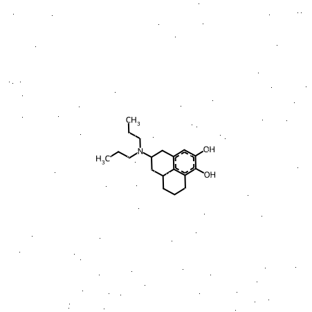 CCCN(CCC)C1Cc2cc(O)c(O)c3c2C(CCC3)C1